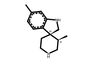 Cc1ccc2c(c1)NC[C@@]21CCNC[C@@H]1C